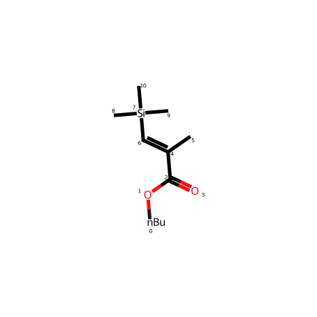 CCCCOC(=O)C(C)=C[Si](C)(C)C